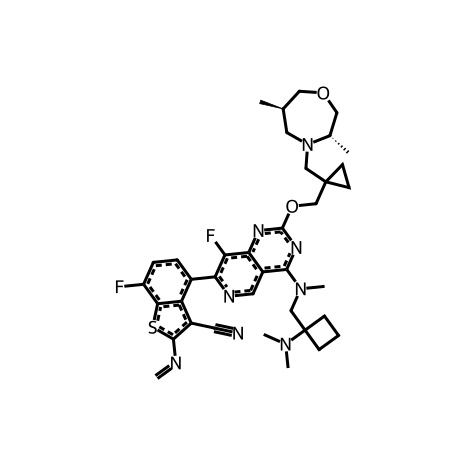 C=Nc1sc2c(F)ccc(-c3ncc4c(N(C)CC5(N(C)C)CCC5)nc(OCC5(CN6C[C@@H](C)COC[C@@H]6C)CC5)nc4c3F)c2c1C#N